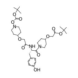 CC(C)(C)OC(=O)COC1CCN(C(=O)[C@H](Cc2ccc(O)cc2)NC(=O)COC2CCN(OC(=O)OC(C)(C)C)CC2)CC1